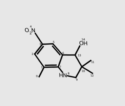 Cc1cc([N+](=O)[O-])cc2c1NCC(C)(C)C2O